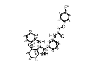 O=C(COc1ccc(F)cc1)Nc1cc(-c2[nH]c3c(c2Nc2ccccc2)C(=O)CCC3)ccn1